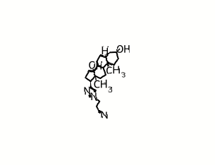 C[C@]12CC[C@H](O)C[C@H]1CCC1C2CC[C@]2(C)[C@@H](c3cn(CCC#N)cn3)CC[C@]12O